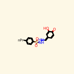 CCCc1ccc(S(=O)(=O)NNC=C2C=CC(=O)C(O)=C2)cc1